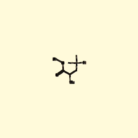 CCC(C)(C)CC(C(=O)OC(C)C)C(C)(C)C